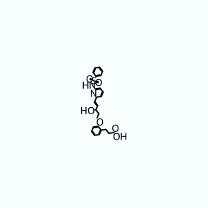 O=C(O)CCc1ccccc1OCC[C@@H](O)/C=C/c1cccc(NS(=O)(=O)c2ccccc2)n1